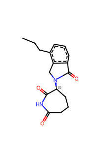 CCCc1cccc2c1CN([C@H]1CCCC(=O)NC1=O)C2=O